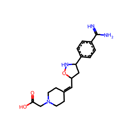 N=C(N)c1ccc(C2CC(C=C3CCN(CC(=O)O)CC3)ON2)cc1